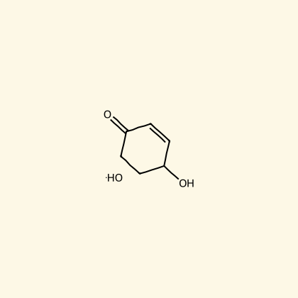 O=C1C=CC(O)CC1.[OH]